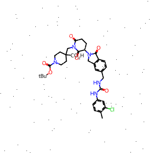 Cc1ccc(NC(=O)NCc2ccc3c(c2)CN(C2CCC(=O)N(CC4(C(=O)O)CCN(C(=O)OC(C)(C)C)CC4)C2=O)C3=O)cc1Cl